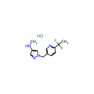 CNc1cnn(Cc2ccc(C(C)(F)F)nc2)c1.Cl